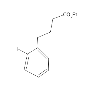 CCOC(=O)CCCc1ccccc1I